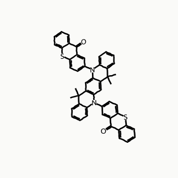 CC1(C)c2ccccc2N(c2ccc3sc4ccccc4c(=O)c3c2)c2cc3c(cc21)N(c1ccc2sc4ccccc4c(=O)c2c1)c1ccccc1C3(C)C